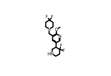 COc1ncc(C2CNCCC2(F)F)cc1CN1CCC(F)(F)CC1